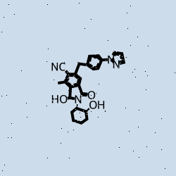 Cc1c(C#N)c(Cc2ccc(-n3cccn3)cc2)cc2c1C(O)N([C@H]1CCCC[C@@H]1O)C2=O